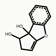 OC1CC=C2Oc3ccccc3C21O